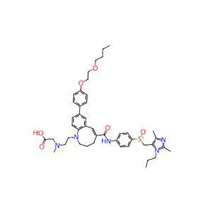 CCCCOCCOc1ccc(-c2ccc3c(c2)/C=C(/C(=O)Nc2ccc([S+]([O-])Cc4c(C)nc(C)n4CCC)cc2)CCCN3CCN(C)CC(=O)O)cc1